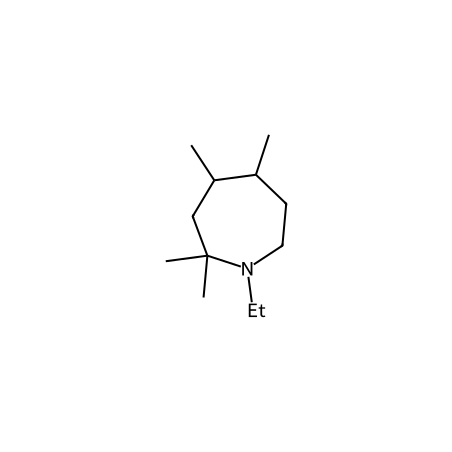 CCN1CCC(C)C(C)CC1(C)C